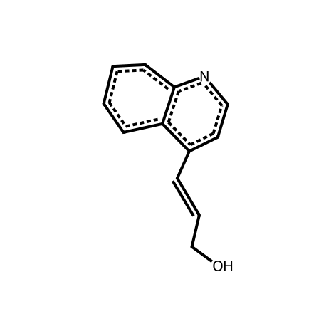 OCC=Cc1ccnc2ccccc12